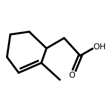 CC1=CCCCC1CC(=O)O